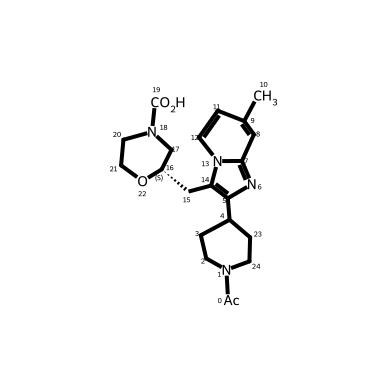 CC(=O)N1CCC(c2nc3cc(C)ccn3c2C[C@H]2CN(C(=O)O)CCO2)CC1